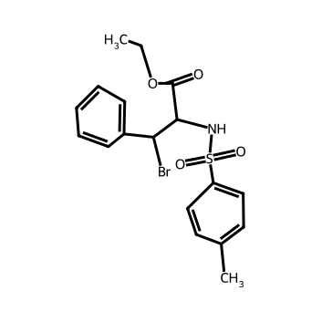 CCOC(=O)C(NS(=O)(=O)c1ccc(C)cc1)C(Br)c1ccccc1